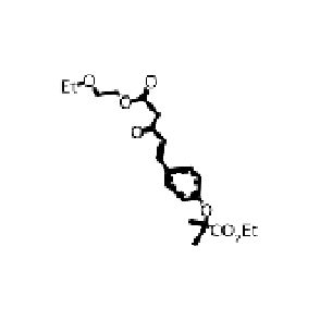 CCOCCOC(=O)CC(=O)C=Cc1ccc(OC(C)(C)C(=O)OCC)cc1